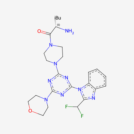 CCC(C)[C@H](N)C(=O)N1CCN(c2nc(N3CCOCC3)nc(-n3c(C(F)F)nc4ccccc43)n2)CC1